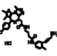 Cc1ccc(NC(=O)CCCNC(=O)C[C@@H]2N=C(c3ccc(Cl)cc3)c3c(sc(C)c3C)-n3c(C)nnc32)cc1C#CCN.Cl